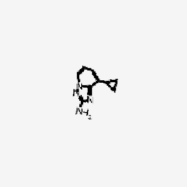 Nc1nc2c(C3CC3)cccn2n1